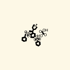 CN1CCC(c2cn(S(=O)(=O)Cc3ccccc3)c3ccc(OS(=O)(=O)c4ccccc4)cc23)CC1.O=C(O)C(=O)O